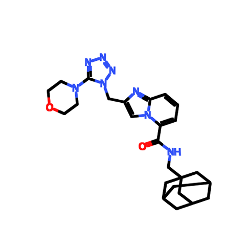 O=C(NCC12CC3CC(CC(C3)C1)C2)c1cccc2nc(Cn3nnnc3N3CCOCC3)cn12